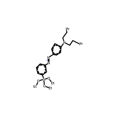 CCO[Si](OCC)(OCC)c1cccc(/N=N/c2ccc(N(CCC(C)C)CCC(C)C)cc2)c1